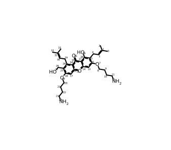 CC(C)=CCc1c(OCCCCN)cc2oc3cc(OCCCCN)c(CO)c(CC=C(C)C)c3c(=O)c2c1O